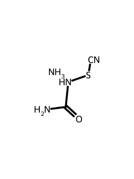 N.N#CSNC(N)=O